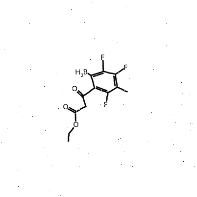 Bc1c(F)c(F)c(C)c(F)c1C(=O)CC(=O)OCC